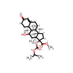 COC(=O)C1(OC(=O)OC(C)C)CC[C@H]2[C@@H]3CCC4=CC(=O)CC[C@]4(C)[C@@H]3C(O)C[C@@]21C